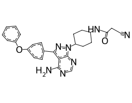 N#CCC(=O)NC1CCC(n2nc(-c3ccc(Oc4ccccc4)cc3)c3c(N)ncnc32)CC1